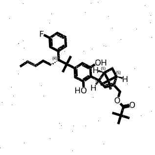 CCCCC[C@H](c1cccc(F)c1)C(C)(C)c1cc(O)c([C@H]2C=C(COC(=O)C(C)(C)C)[C@H]3C[C@@H]2C3(C)C)c(O)c1